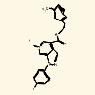 C[n+]1cc(C(=O)NCc2cccc(C(F)(F)F)c2)c2cnn(-c3ccc(F)cc3)c2c1.[I-]